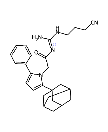 N#CCCCN/C(N)=N/C(=O)Cn1c(-c2ccccc2)ccc1C12CC3CC(CC(C3)C1)C2